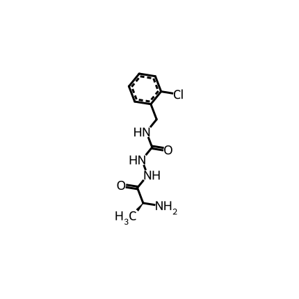 C[C@H](N)C(=O)NNC(=O)NCc1ccccc1Cl